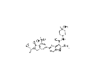 C[C@@H](C1CC1)N1Cc2cc(-c3ccn4nc(N)c(C(=O)N[C@H]5CC[C@@](C)(O)CC5)c4n3)cc(S(C)(=O)=O)c2C1=O